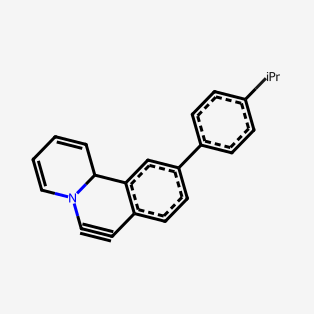 CC(C)c1ccc(-c2ccc3c(c2)C2C=CC=CN2C#C3)cc1